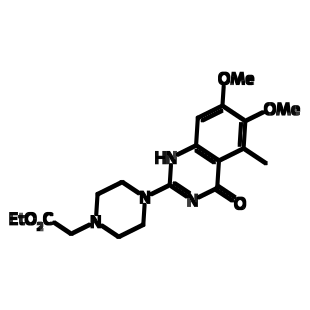 CCOC(=O)CN1CCN(c2nc(=O)c3c(C)c(OC)c(OC)cc3[nH]2)CC1